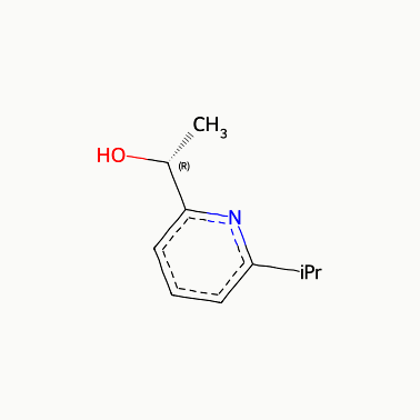 CC(C)c1cccc([C@@H](C)O)n1